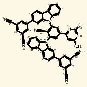 Cc1cc(-c2cc(-n3c4ccccc4c4ccc(-c5cc(C#N)cc(C#N)c5)cc43)c(C#N)c(-n3c4ccccc4c4ccc(-c5cc(C#N)cc(C#N)c5)cc43)c2)nc(C)n1